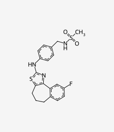 CS(=O)(=O)NCc1ccc(Nc2nc3c(s2)CCCc2ccc(F)cc2-3)cc1